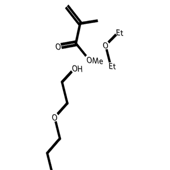 C=C(C)C(=O)OC.CCOCC.OCCOCCO